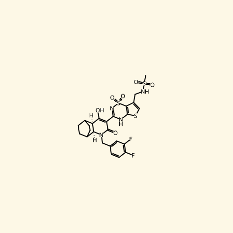 CS(=O)(=O)NCc1csc2c1S(=O)(=O)N=C(C1=C(O)[C@@H]3C4CCC(CC4)[C@@H]3N(Cc3ccc(F)c(F)c3)C1=O)N2